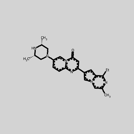 CCc1nc(C)cn2cc(-c3cc(=O)n4cc(N5C[C@@H](C)N[C@@H](C)C5)ccc4n3)cc12